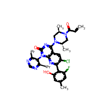 C=CC(=O)N1C[C@H](C)N(c2nc(=O)n(-c3c(C(C)C)ncnc3C(C)C)c3nc(-c4c(O)cc(C)cc4F)c(Cl)cc23)C[C@H]1C